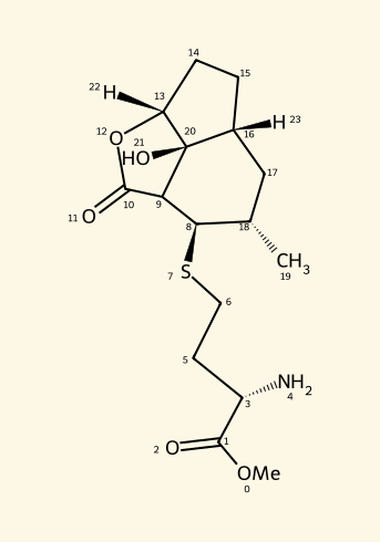 COC(=O)[C@@H](N)CCS[C@H]1C2C(=O)O[C@@H]3CC[C@H](C[C@@H]1C)[C@]23O